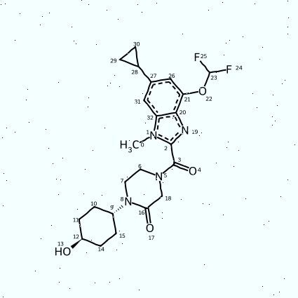 Cn1c(C(=O)N2CCN([C@H]3CC[C@H](O)CC3)C(=O)C2)nc2c(OC(F)F)cc(C3CC3)cc21